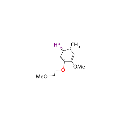 COCCOC1=CC(=P)C(C)C=C1OC